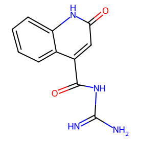 N=C(N)NC(=O)c1cc(=O)[nH]c2ccccc12